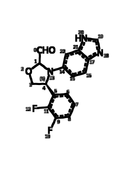 O=CC1OC[C@H](c2cccc(F)c2F)N1c1ccc2nc[nH]c2c1